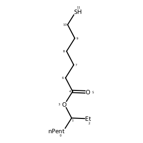 CCCCCC(CC)OC(=O)CCCCCS